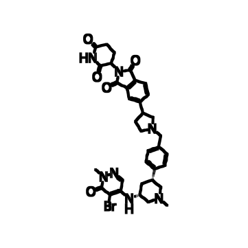 CN1C[C@H](Nc2cnn(C)c(=O)c2Br)C[C@H](c2ccc(CN3CCC(c4ccc5c(c4)C(=O)N(C4CCC(=O)NC4=O)C5=O)C3)cc2)C1